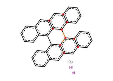 I.I.[Ru].c1ccc(P(c2ccccc2)c2ccc3ccccc3c2-c2c(P(c3ccccc3)c3ccccc3)ccc3ccccc23)cc1